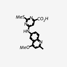 COc1cc(C)nc2ccc(Nc3cc(C(=O)O)nc(SC)n3)cc12